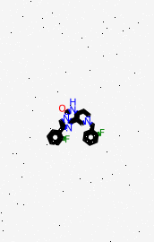 O=c1[nH]c2c(c3nc(-c4ccccc4F)cn13)CN(Cc1ccccc1F)CC2